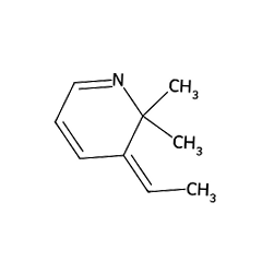 C/C=C1/C=CC=NC1(C)C